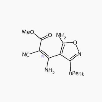 CCCCCc1noc(N)c1/C(N)=C(/C#N)C(=O)OC